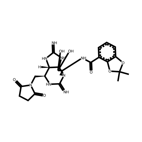 CC1(C)Oc2cccc(C(=O)NC3CN4C(=N)N[C@@H](CN5C(=O)CCC5=O)[C@@H]5NC(=N)NC54C3(O)O)c2O1